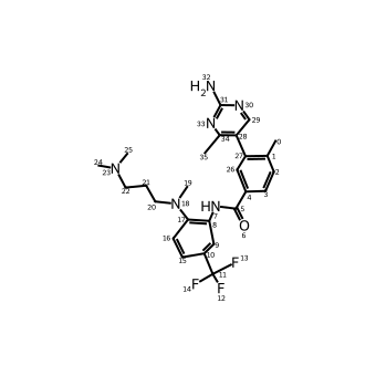 Cc1ccc(C(=O)Nc2cc(C(F)(F)F)ccc2N(C)CCCN(C)C)cc1-c1cnc(N)nc1C